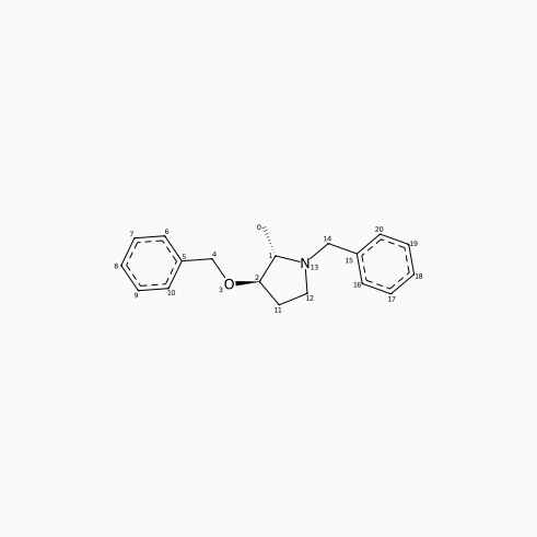 C[C@H]1[C@H](OCc2ccccc2)CCN1Cc1ccccc1